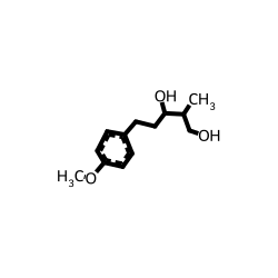 COc1ccc(CCC(O)C(C)CO)cc1